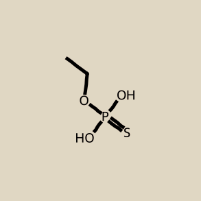 CCOP(O)(O)=S